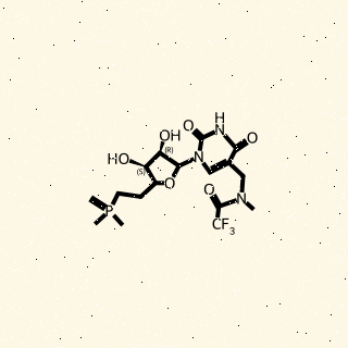 C=P(C)(C)CCC1OC(n2cc(CN(C)C(=O)C(F)(F)F)c(=O)[nH]c2=O)[C@H](O)[C@@H]1O